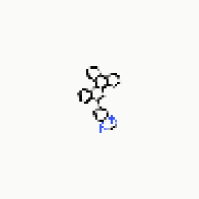 c1ccc2c(c1)c(-c1ccc3nccnc3c1)cc1c3ccccc3c3ccccc3c21